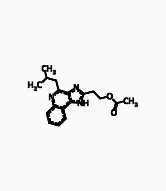 CC(=O)OCCc1nc2c(CC(C)C)nc3ccccc3c2[nH]1